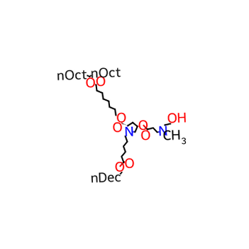 CCCCCCCCCCCOC(=O)CCCCCN1CC(OC(=O)CCN(C)CCO)C[C@H]1C(=O)OCCCCCCCC(=O)OC(CCCCCCCC)CCCCCCCC